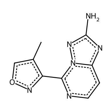 Cc1conc1-c1nccc2nc(N)nn12